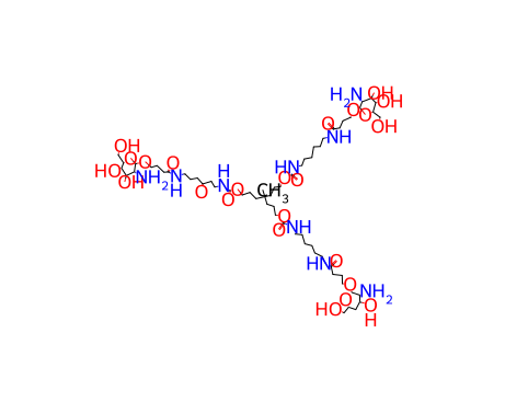 CC(CCCOC(=O)NCCCCCCNC(=O)CCCOC1OC(CO)CC(O)C1N)(CCCOC(=O)NCCCCCCNC(=O)CCCOC1OC(CO)C(O)C(O)C1N)CCCOC(=O)NCCC(=O)CCCNC(=O)CCCOC1OC(CO)C(O)C(O)C1N